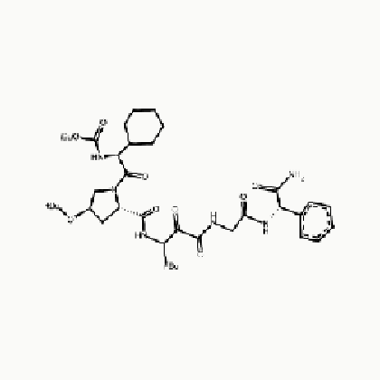 CCCCC(NC(=O)[C@@H]1C[C@@H](OC(C)(C)C)CN1C(=O)[C@@H](NC(=O)OCC(C)C)C1CCCCC1)C(=O)C(=O)NCC(=O)N[C@H](C(N)=O)c1ccccc1